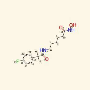 CC(C)(C(=O)NCCCCCC(=O)NO)c1ccc(F)cc1